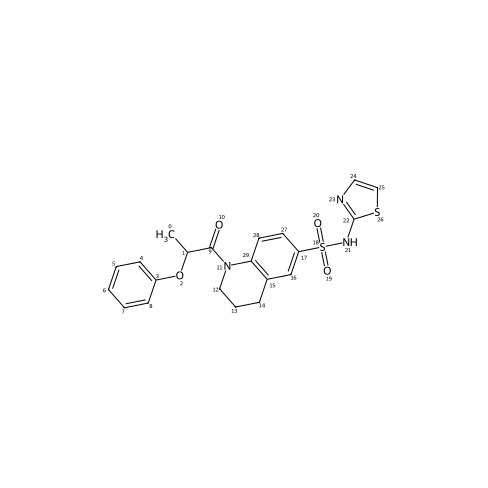 CC(Oc1ccccc1)C(=O)N1CCCc2cc(S(=O)(=O)Nc3nccs3)ccc21